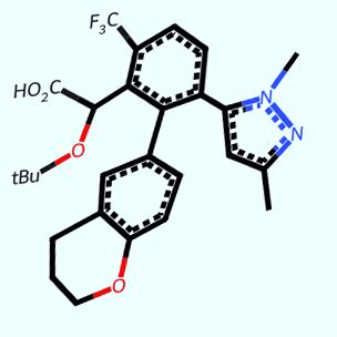 Cc1cc(-c2ccc(C(F)(F)F)c(C(OC(C)(C)C)C(=O)O)c2-c2ccc3c(c2)CCCO3)n(C)n1